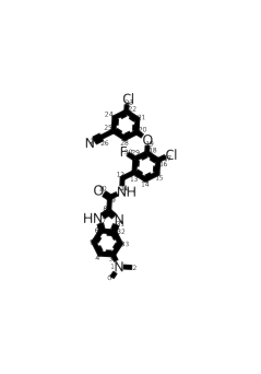 CN(C)c1ccc2[nH]c(C(=O)NCc3ccc(Cl)c(Oc4cc(Cl)cc(C#N)c4)c3F)nc2c1